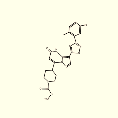 Cc1ccc(Cl)cc1-c1noc(-c2cnn3c(C4CCN(C(=O)OC(C)(C)C)CC4)cc(=O)[nH]c23)n1